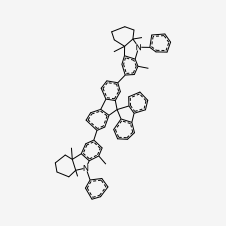 Cc1cc(-c2ccc3c(c2)C2(c4ccccc4-c4ccccc42)c2cc(-c4cc(C)c5c(c4)C4(C)CCCCC4(C)N5c4ccccc4)ccc2-3)cc2c1N(c1ccccc1)C1(C)CCCCC21C